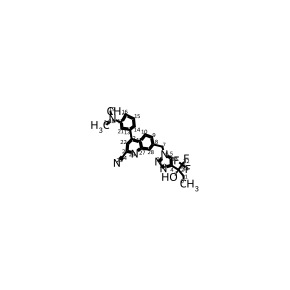 CC[C@](O)(c1cn(Cc2ccc3c(-c4cccc(N(C)C)c4)cc(C#N)nc3c2)nn1)C(F)(F)F